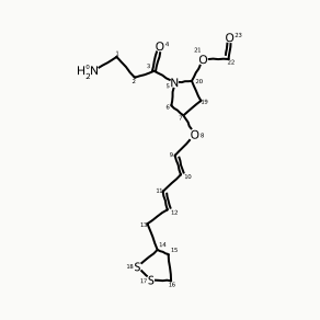 NCCC(=O)N1CC(O/C=C/C=C/CC2CCSS2)CC1OC=O